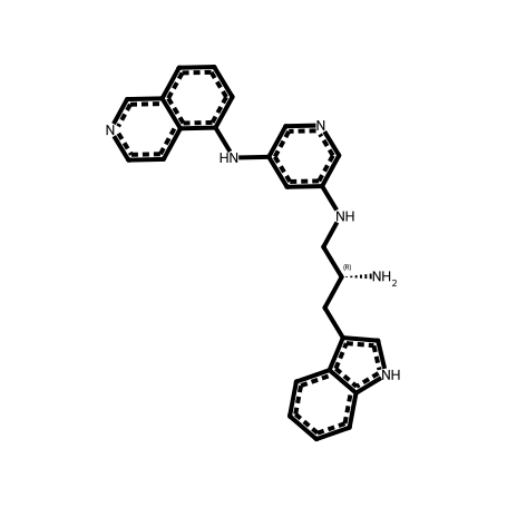 N[C@@H](CNc1cncc(Nc2cccc3cnccc23)c1)Cc1c[nH]c2ccccc12